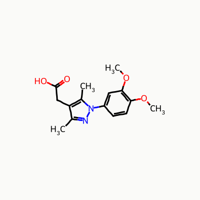 COc1ccc(-n2nc(C)c(CC(=O)O)c2C)cc1OC